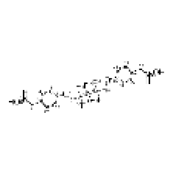 ONCc1ccc(OCC(F)(F)C(F)(F)C(F)(F)COc2ccc(CNO)cc2)cc1